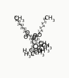 CCCCCCCCOC(=O)CCP(=O)(CCC(=O)OCCCCCCCC)Cc1cc(C(C)(C)C)c(O)c(C(C)(C)C)c1